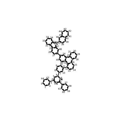 c1ccc(-c2cc(-c3cccc(-c4cccc5c6ccccc6c6cc(-c7ccc8c9ccccc9n(-c9ccc%10ccccc%10c9)c8c7)ccc6c45)c3)nc(-c3ccccc3)n2)cc1